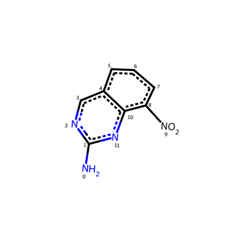 Nc1ncc2cccc([N+](=O)[O-])c2n1